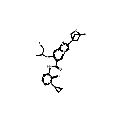 CC(CF)Oc1cc2nc(C34COC(C)(C3)C4)cn2cc1C(=O)Nc1cccn(C2CC2)c1=O